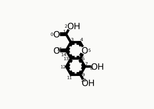 O=C(O)c1coc2c(O)c(O)ccc2c1=O